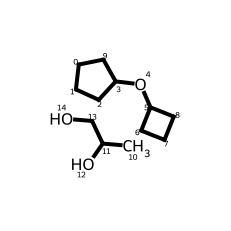 C1CCC(OC2CCC2)C1.CC(O)CO